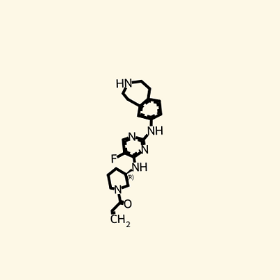 C=CC(=O)N1CCC[C@@H](Nc2nc(Nc3ccc4c(c3)CCNCC4)ncc2F)C1